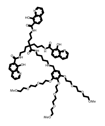 COCCOCCOCCOc1cc(CNCCCCNC(=O)C(CCCNC(=O)c2ccc3cccnc3c2O)(CCCNC(=O)c2ccc3cccnc3c2O)CCCNC(=O)c2ccc3cccnc3c2O)cc(OCCOCCOCCOC)c1OCCOCCOCCOC